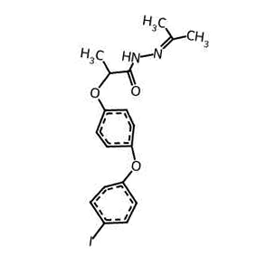 CC(C)=NNC(=O)C(C)Oc1ccc(Oc2ccc(I)cc2)cc1